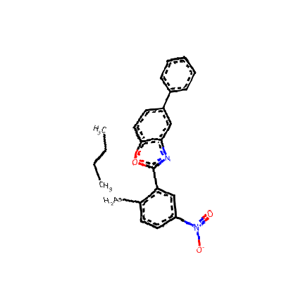 CCCC.O=[N+]([O-])c1ccc([AsH2])c(-c2nc3cc(-c4ccccc4)ccc3o2)c1